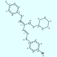 Cc1ccc(S/N=C(/C=C/Sc2ccc(Br)cc2)OCC2CCCCC2)cc1